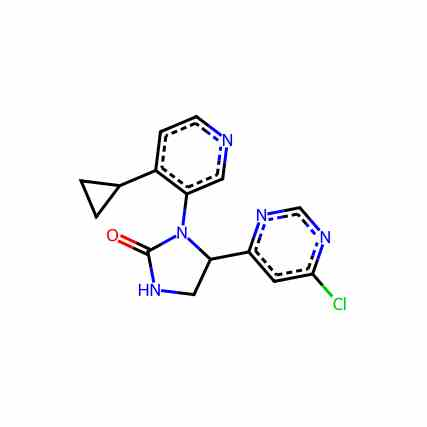 O=C1NCC(c2cc(Cl)ncn2)N1c1cnccc1C1CC1